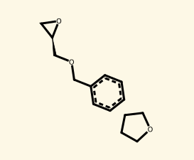 C1CCOC1.c1ccc(COC[C@H]2CO2)cc1